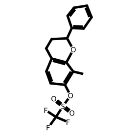 Cc1c(OS(=O)(=O)C(F)(F)F)ccc2c1OC(c1ccccc1)CC2